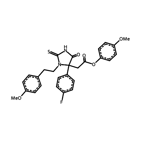 COc1ccc(CCN2C(=S)NC(=O)C2(CC(=O)Oc2ccc(OC)cc2)c2ccc(F)cc2)cc1